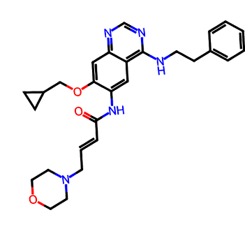 O=C(C=CCN1CCOCC1)Nc1cc2c(NCCc3ccccc3)ncnc2cc1OCC1CC1